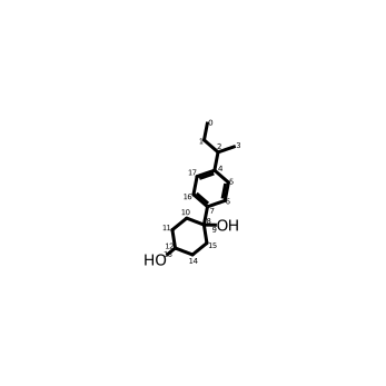 CCC(C)c1ccc(C2(O)CCC(O)CC2)cc1